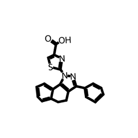 O=C(O)c1csc(-n2nc(-c3ccccc3)c3c2-c2ccccc2CC3)n1